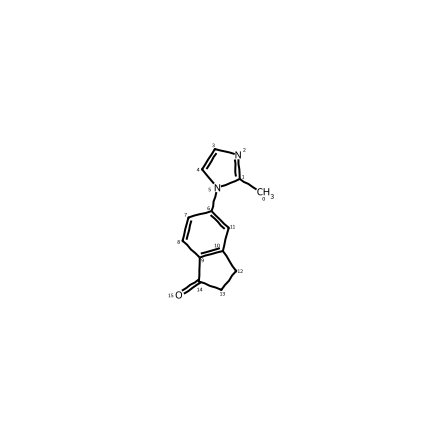 Cc1nccn1-c1ccc2c(c1)CCC2=O